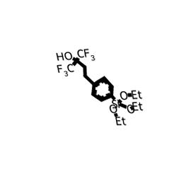 CCO[Si](OCC)(OCC)c1ccc(CCC(O)(C(F)(F)F)C(F)(F)F)cc1